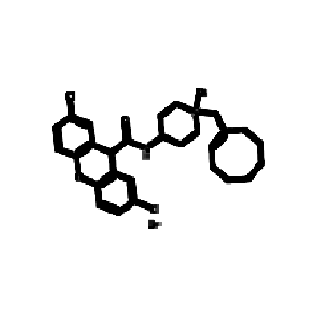 CC[N+]1(CC2=CCCCCCC2)CCC(NC(=O)C2c3cc(Cl)ccc3Oc3ccc(Cl)cc32)CC1.[Br-]